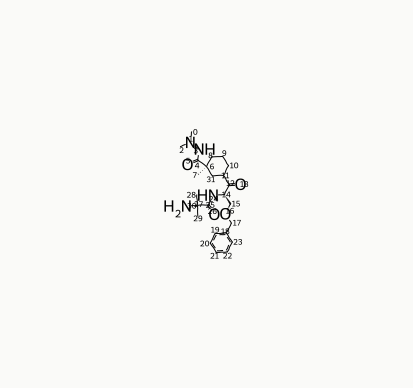 CN(C)NC(=O)[C@@]1(C)CCCC(C(=O)[C@@H](COCc2ccccc2)NC(=O)C(C)(C)N)C1